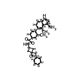 Cc1cc(S(=O)(=O)NC2CC(O)(Cc3ccccc3)C2)ccc1-c1ccc2[nH]nc(N)c2c1C